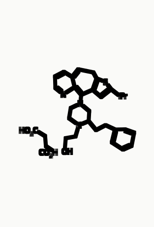 CC(C)c1cc2c(s1)CC=c1cccnc1=C2N1CCN(CCO)C(CCc2ccccc2)C1.O=C(O)CCC(=O)O